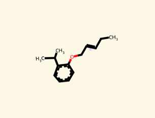 CC/C=C/COc1ccccc1C(C)C